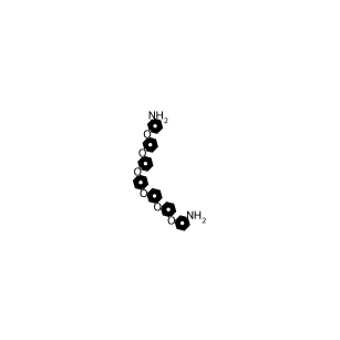 Nc1cccc(Oc2cccc(Oc3cccc(Oc4ccc(Oc5cccc(Oc6cccc(Oc7cccc(N)c7)c6)c5)cc4)c3)c2)c1